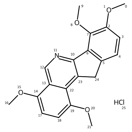 COc1ccc2c(c1OC)-c1ncc3c(OC)ccc(OC)c3c1C2.Cl